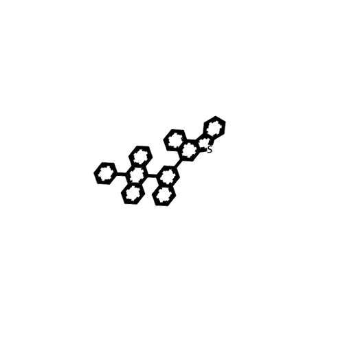 c1ccc(-c2c3ccccc3c(-c3cc(-c4cc5sc6ccccc6c5c5ccccc45)cc4ccccc34)c3ccccc23)cc1